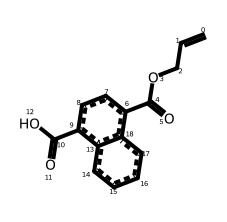 C=CCOC(=O)c1ccc(C(=O)O)c2ccccc12